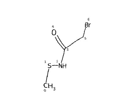 CSNC(=O)CBr